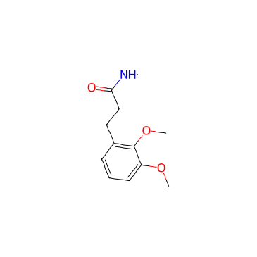 COc1cccc(CCC([NH])=O)c1OC